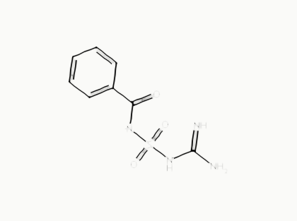 N=C(N)NS(=O)(=O)[N]C(=O)c1ccccc1